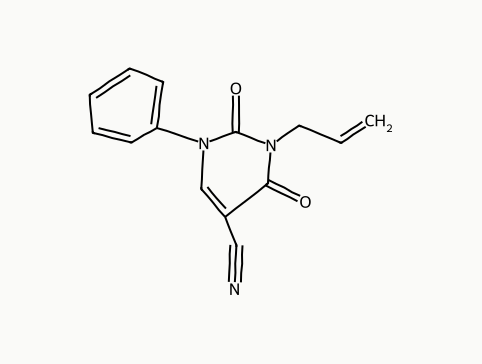 C=CCn1c(=O)c(C#N)cn(-c2ccccc2)c1=O